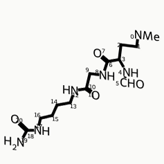 CNCCC(NC=O)C(=O)NCC(=O)NCCCCNC(N)=O